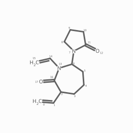 C=CC1CCCC(N2CCCC2=O)N(C=C)C1=O